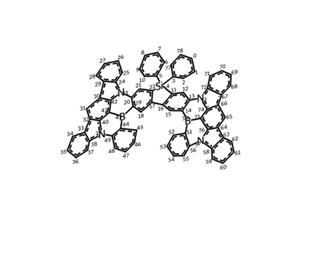 c1ccc([Si]2(c3ccccc3)c3cc4c(cc3-c3cc5c(cc32)-n2c3ccccc3c3cc6c7ccccc7n7c6c(c32)B5c2ccccc2-7)B2c3ccccc3-n3c5ccccc5c5cc6c7ccccc7n-4c6c2c53)cc1